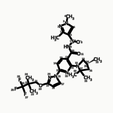 Cc1nn(C)cc1[S+]([O-])NC(=O)c1ccc(-n2ccc(OCC(C)(C)C(F)(F)F)n2)nc1N1C[C@H](C)CC1(C)C